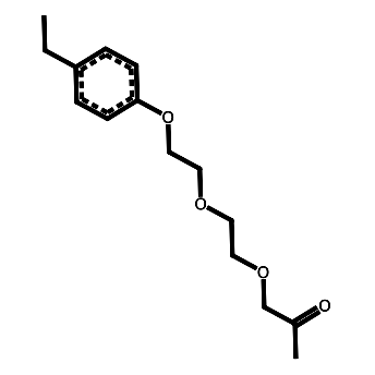 CCc1ccc(OCCOCCOCC(C)=O)cc1